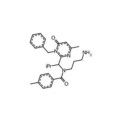 Cc1ccc(C(=O)N(CCCN)C(c2nc(C)cc(=O)n2Cc2ccccc2)C(C)C)cc1